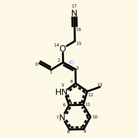 C=C/C(=C\c1[nH]c2ncccc2c1C)OCC#N